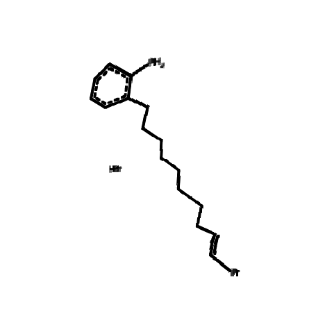 Br.CC(C)C=CCCCCCCCCc1ccccc1P